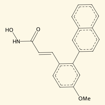 COc1ccc(/C=C/C(=O)NO)c(-c2ccc3ccccc3c2)c1